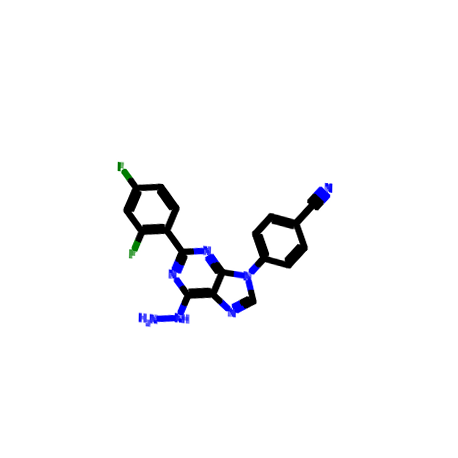 N#Cc1ccc(-n2cnc3c(NN)nc(-c4ccc(F)cc4F)nc32)cc1